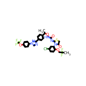 CC(ONC(=O)/N=C1\SCC(=O)N1c1cc(Cl)ccc1OCC(C)(F)F)c1ccc(-c2ncn(-c3ccc(OC(F)(F)F)cc3)n2)cc1